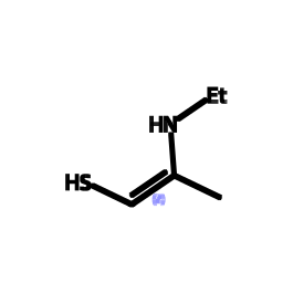 CCN/C(C)=C\S